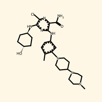 Cc1ccc(Nc2nc(N[C@H]3CC[C@H](O)CC3)c(Cl)nc2C(N)=O)cc1N1CCC(N2CCN(C)CC2)CC1